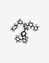 c1ccc(-c2cccc(-c3nc(-c4cccc(-c5ccccc5)c4)nc(-c4ccc5c(c4)oc4cccc(-c6ccccc6)c45)n3)c2)cc1